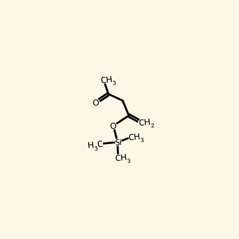 C=C(CC(C)=O)O[Si](C)(C)C